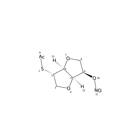 CC(=O)S[C@H]1CO[C@H]2[C@@H]1OC[C@H]2ON=O